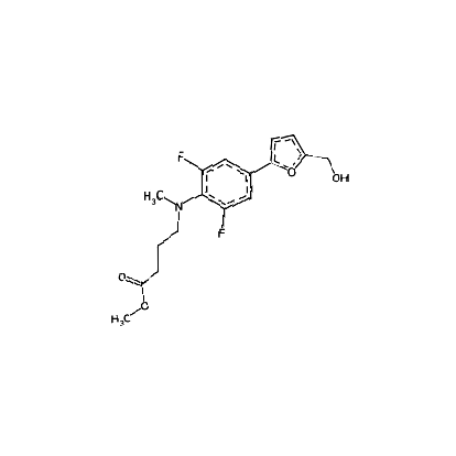 COC(=O)CCCN(C)c1c(F)cc(-c2ccc(CO)o2)cc1F